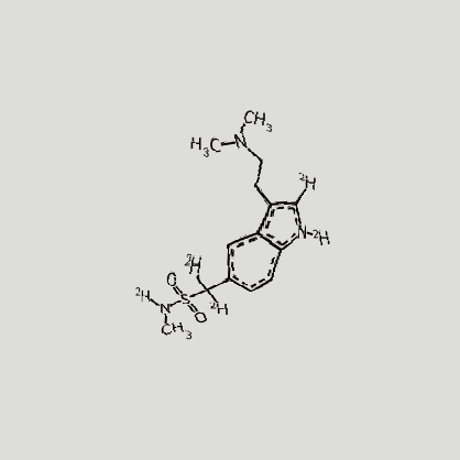 [2H]c1c(CCN(C)C)c2cc(C([2H])([2H])S(=O)(=O)N([2H])C)ccc2n1[2H]